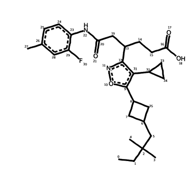 CCC(C)(C)CC1CC(c2onc(C(CCC(=O)O)CC(=O)Nc3ccc(C)cc3F)c2C2CC2)C1